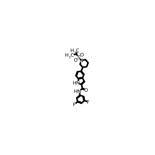 CC(C)S(=O)(=O)N1CCCC(c2ccc3[nH]c(C(=O)Nc4cc(F)cc(F)c4)cc3c2)C1